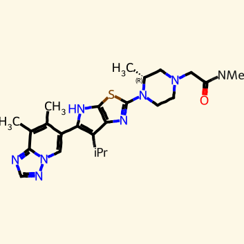 CNC(=O)CN1CCN(c2nc3c(C(C)C)c(-c4cn5ncnc5c(C)c4C)[nH]c3s2)[C@H](C)C1